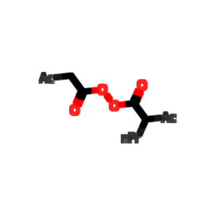 CCCC(C(C)=O)C(=O)OOC(=O)CC(C)=O